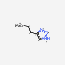 CSCCc1c[nH]nn1